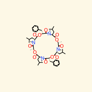 CC(C)CC1C(=O)O[C@H](C)C(=O)N(C)[C@@H](CC(C)C)C(=O)O[C@H](Cc2ccccc2)C(=O)N(C)C(CC(C)C)C(=O)O[C@H](C)C(=O)N(C)[C@@H](CC(C)C)C(=O)O[C@H](Cc2ccccc2)C(=O)N1C